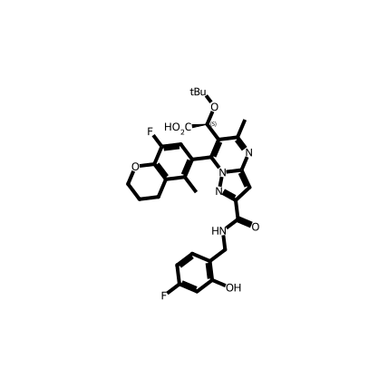 Cc1nc2cc(C(=O)NCc3ccc(F)cc3O)nn2c(-c2cc(F)c3c(c2C)CCCO3)c1[C@H](OC(C)(C)C)C(=O)O